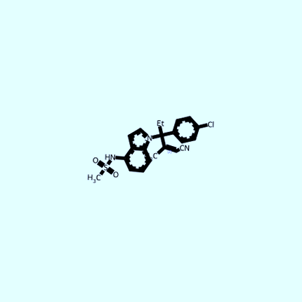 CCC(/C(C)=C\C#N)(c1ccc(Cl)cc1)n1ccc2c(NS(C)(=O)=O)cccc21